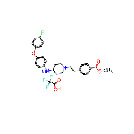 COC(=O)c1ccc(CCN2CCC(Nc3ccc(Oc4ccc(Cl)cc4)cc3)CC2)cc1.O=C(O)C(F)(F)F